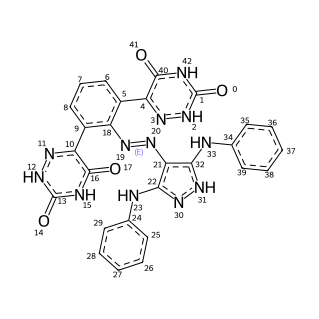 O=c1[nH]nc(-c2cccc(-c3n[nH]c(=O)[nH]c3=O)c2/N=N/c2c(Nc3ccccc3)n[nH]c2Nc2ccccc2)c(=O)[nH]1